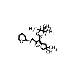 CC1(C)Cc2c(B3OC(C)(C)C(C)(C)O3)c(COC3CCCCO3)nn2C1